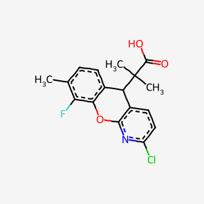 Cc1ccc2c(c1F)Oc1nc(Cl)ccc1C2C(C)(C)C(=O)O